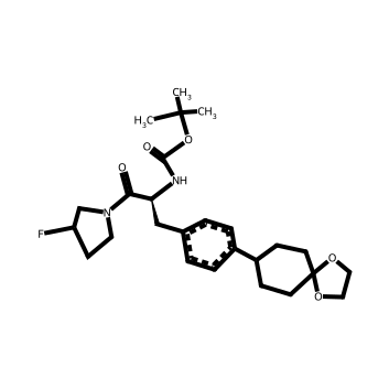 CC(C)(C)OC(=O)N[C@@H](Cc1ccc(C2CCC3(CC2)OCCO3)cc1)C(=O)N1CCC(F)C1